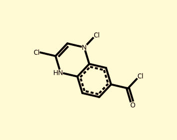 O=C(Cl)c1ccc2c(c1)N(Cl)C=C(Cl)N2